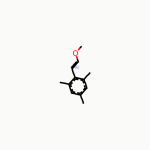 CO/C=C/c1c(C)cc(C)cc1C